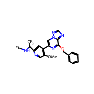 CCNC(c1cc(-c2cn3ncnc3c(OCc3ccccc3)n2)c(OC)cn1)C(F)(F)F